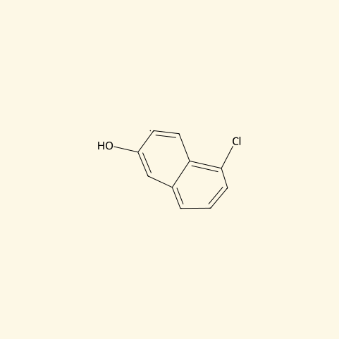 Oc1[c]cc2c(Cl)cccc2c1